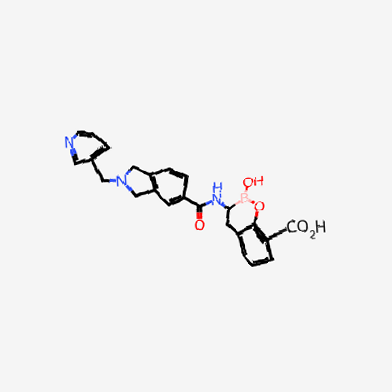 O=C(NC1Cc2cccc(C(=O)O)c2OB1O)c1ccc2c(c1)CN(Cc1cccnc1)C2